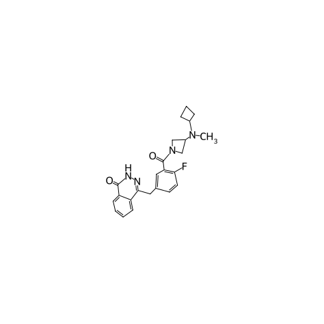 CN(C1CCC1)C1CN(C(=O)c2cc(Cc3n[nH]c(=O)c4ccccc34)ccc2F)C1